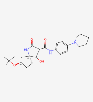 CC(C)(C)O[C@@H]1CC[C@]2(C1)NC(=O)C(C(=O)Nc1ccc(N3CCCCC3)cc1)C2O